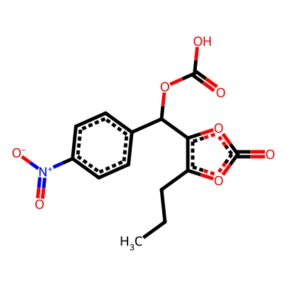 CCCc1oc(=O)oc1C(OC(=O)O)c1ccc([N+](=O)[O-])cc1